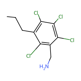 CCCc1c(Cl)c(Cl)c(Cl)c(CN)c1Cl